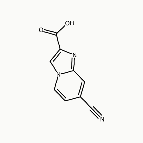 N#Cc1ccn2cc(C(=O)O)nc2c1